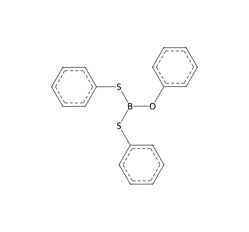 c1ccc(OB(Sc2ccccc2)Sc2ccccc2)cc1